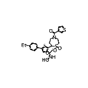 CCc1ccc(-c2ccc([C@@]3(CC(=O)NO)CCN(C(=O)c4ccsc4)CCS3(=O)=O)s2)cc1